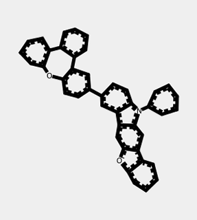 c1ccc(-n2c3ccc(-c4ccc5c(c4)-c4ccccc4-c4ccccc4O5)cc3c3cc4oc5ccccc5c4cc32)cc1